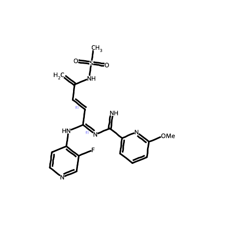 C=C(/C=C/C(=N\C(=N)c1cccc(OC)n1)Nc1ccncc1F)NS(C)(=O)=O